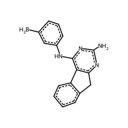 Bc1cccc(Nc2nc(N)nc3c2-c2ccccc2C3)c1